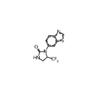 O=C1NCC(C(F)(F)F)N1c1ccc2ncsc2c1